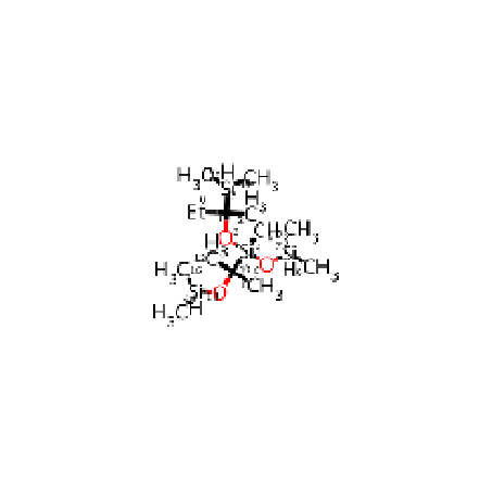 CCC(C)(O[Si](C)(O[SiH](C)C)C(C)(C)O[SiH](C)C)[SiH](C)C